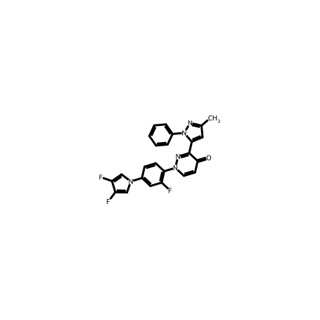 Cc1cc(-c2nn(-c3ccc(-n4cc(F)c(F)c4)cc3F)ccc2=O)n(-c2ccccc2)n1